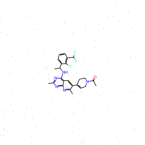 CC(=O)N1CC=C(c2cc3c(NC(C)c4cccc(C(F)F)c4F)nc(C)nc3nc2C)CC1